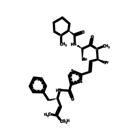 CC[C@H](C)[C@H](NC(=O)[C@H]1CCCCN1C)C(=O)N(C)[C@H](/C=C/c1nc(C(=O)N[C@H](/C=C(\C)C(=O)O)Cc2ccccc2)cs1)C(C)C